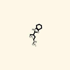 CCC(CCNC)C1NC2=C(CCCC2)O1